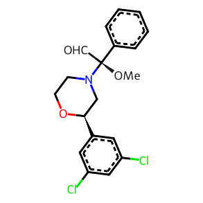 CO[C@@](C=O)(c1ccccc1)N1CCO[C@H](c2cc(Cl)cc(Cl)c2)C1